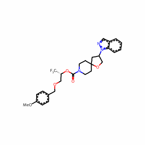 COc1ccc(COC[C@@H](OC(=O)N2CCC3(CC2)CC(n2ncc4ccccc42)CO3)C(F)(F)F)cc1